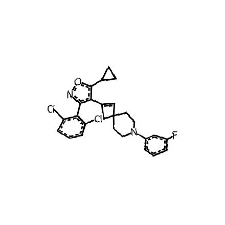 Fc1cccc(N2CCC3(C=C(c4c(-c5c(Cl)cccc5Cl)noc4C4CC4)C3)CC2)c1